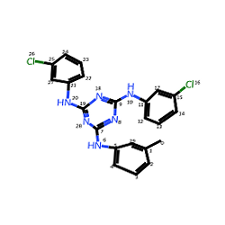 Cc1cccc(Nc2nc(Nc3cccc(Cl)c3)nc(Nc3cccc(Cl)c3)n2)c1